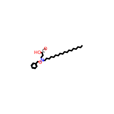 CCCCCCCCCCCCCCCCCCN(CCC(O)=C=O)OCc1ccccc1